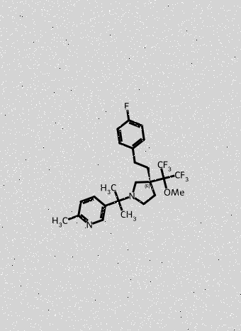 COC(C(F)(F)F)(C(F)(F)F)[C@]1(CCc2ccc(F)cc2)CCN(C(C)(C)c2ccc(C)nc2)C1